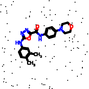 Cc1ccc(Nc2nnc(C(=O)Nc3ccc(N4CCOCC4)cc3)o2)cc1C